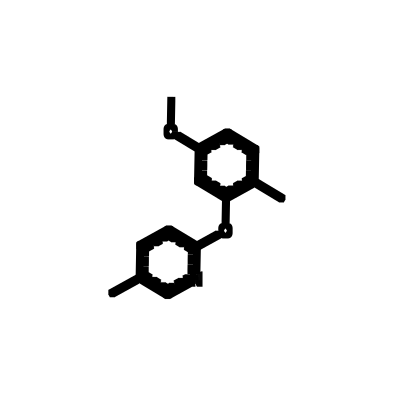 COc1ccc(C)c(Oc2ccc(C)cn2)c1